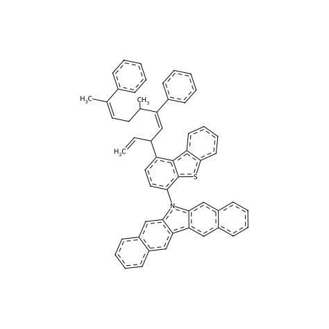 C=CC(/C=C(/c1ccccc1)C(C)C/C=C(/C)c1ccccc1)c1ccc(-n2c3cc4ccccc4cc3c3cc4ccccc4cc32)c2sc3ccccc3c12